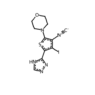 [C-]#[N+]c1c(N2CCOCC2)sc(-c2nnc[nH]2)c1I